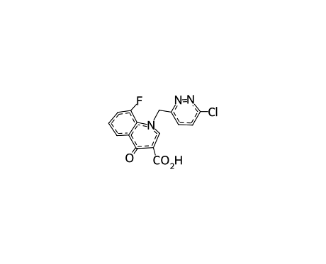 O=C(O)c1cn(Cc2ccc(Cl)nn2)c2c(F)cccc2c1=O